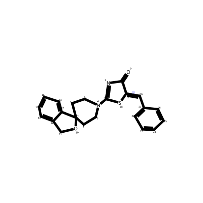 O=C1N=C(N2CCC3(CC2)OCc2ccccc23)S/C1=C\c1ccccc1